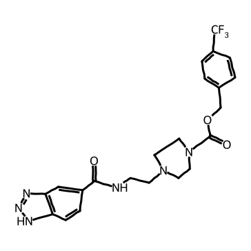 O=C(NCCN1CCN(C(=O)OCc2ccc(C(F)(F)F)cc2)CC1)c1ccc2[nH]nnc2c1